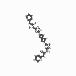 O=C(Cc1ccccn1)Nc1nnc([C@H]2CC3(C[C@H](c4nnc(NC(=O)Cc5ccccn5)s4)C3)C2)s1